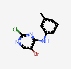 Cc1cccc(Nc2nc(Cl)ncc2Br)c1